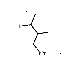 [CH2]C(I)C(I)CCCC